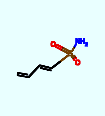 C=C/C=C/S(N)(=O)=O